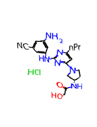 CCCc1cc(N2CC[C@H](NC(=O)CO)C2)nc(Nc2cc(N)cc(C#N)c2)n1.Cl